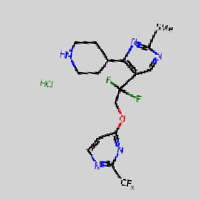 CSc1ncc(C(F)(F)COc2ccnc(C(F)(F)F)n2)c(C2CCNCC2)n1.Cl